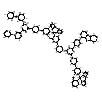 c1ccc(-c2cccc(-c3nc(-c4ccc(-c5ccc6c(c5)Oc5cc(-c7cccc(-c8nc(-c9ccc(-c%10ccc%11c(c%10)Oc%10ccccc%10C%11%10c%11ccccc%11-c%11ccccc%11%10)cc9)nc(-c9ccc(-c%10cccc%11c%10oc%10ccccc%10%11)cc9)n8)c7)ccc5C65c6ccccc6-c6ccccc65)cc4)nc(-c4cccc(-c5ccccc5)c4)n3)c2)cc1